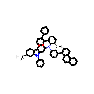 CC1C=Cc2c(n(-c3ccccc3)c3cc(N(c4cccc(-c5cccc6c5ccc5ccccc56)c4)C4C(c5ccccc5-c5ccccc5)=CC=CC4C)ccc23)C1